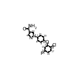 NC(=O)c1cnn(-c2ccc(Oc3cc(F)ccc3Cl)cc2)c1